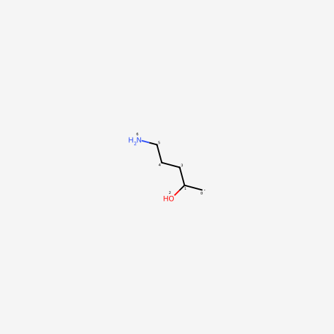 [CH2]C(O)CCCN